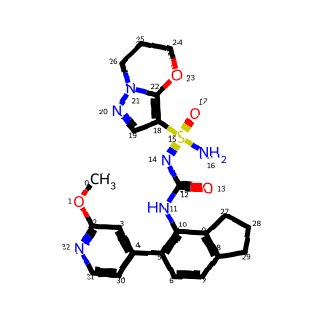 COc1cc(-c2ccc3c(c2NC(=O)N=S(N)(=O)c2cnn4c2OCCC4)CCC3)ccn1